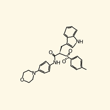 Cc1ccc(S(=O)(=O)[C@H](Cc2c[nH]c3ccccc23)C(=O)Nc2ccc(N3CCOCC3)cc2)cc1